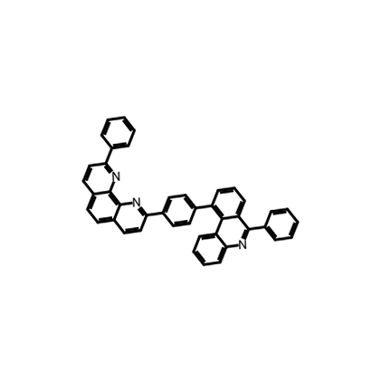 c1ccc(-c2ccc3ccc4ccc(-c5ccc(-c6cccc7c(-c8ccccc8)nc8ccccc8c67)cc5)nc4c3n2)cc1